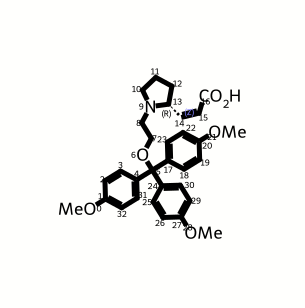 COc1ccc(C(OCCN2CCC[C@@H]2/C=C\C(=O)O)(c2ccc(OC)cc2)c2ccc(OC)cc2)cc1